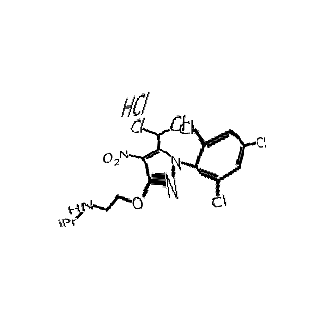 CC(C)NCCOc1nn(-c2c(Cl)cc(Cl)cc2Cl)c(C(Cl)Cl)c1[N+](=O)[O-].Cl